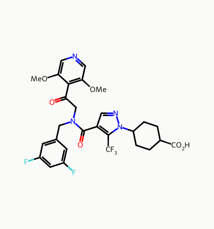 COc1cncc(OC)c1C(=O)CN(Cc1cc(F)cc(F)c1)C(=O)c1cnn(C2CCC(C(=O)O)CC2)c1C(F)(F)F